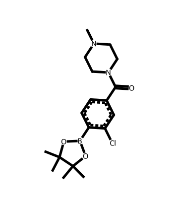 CN1CCN(C(=O)c2ccc(B3OC(C)(C)C(C)(C)O3)c(Cl)c2)CC1